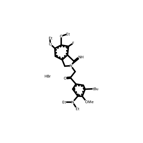 Br.CCOc1cc2c(c(F)c1OCC)C(=N)N(CC(=O)c1cc(N(CC)CC)c(OC)c(C(C)(C)C)c1)C2